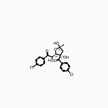 C[C@@]1(O)C[C@@](O)(C(=O)c2ccc(Cl)cc2)[C@@H](C(O)C(=O)c2ccc(Cl)cc2)O1